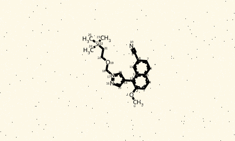 COc1ccc2ccc(C#N)cc2c1-c1cnn(COCC[Si](C)(C)C)c1